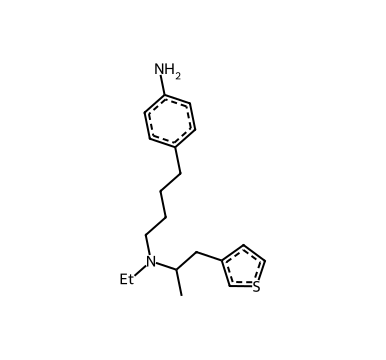 CCN(CCCCc1ccc(N)cc1)C(C)Cc1ccsc1